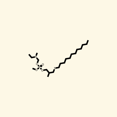 CCCCCCCCCCCCSCC(C)COP(=O)(OC)OCN(C)CC